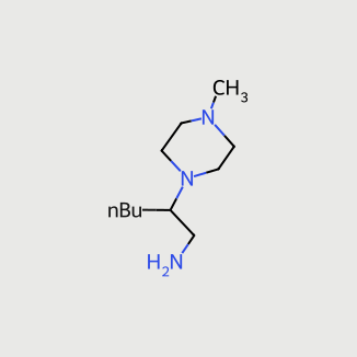 CCCCC(CN)N1CCN(C)CC1